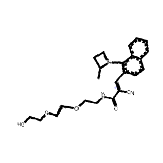 CC1CCN1c1c(/C=C(\C#N)C(=O)NCCOCCOCCO)ccc2ccccc12